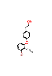 Cc1c(Br)cccc1Oc1ccc(CCO)cc1